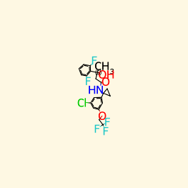 C[C@](O)(CC(=O)NC1(c2cc(Cl)cc(OCC(F)(F)F)c2)CC1)c1c(F)cccc1F